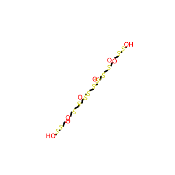 O=C(CSCCSCC[S+]([O-])CSCCSCSC(=O)CSCCSCCOOCCSCSCO)OCCSCSCO